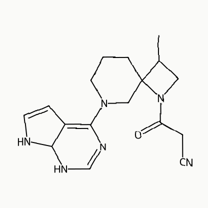 CC1CN(C(=O)CC#N)C12CCCN(C1=C3C=CNC3NC=N1)C2